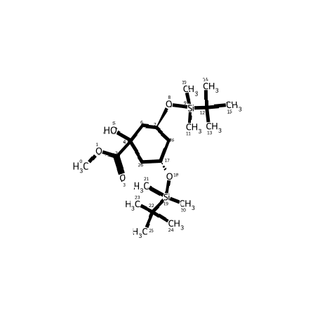 COC(=O)C1(O)C[C@@H](O[Si](C)(C)C(C)(C)C)C[C@H](O[Si](C)(C)C(C)(C)C)C1